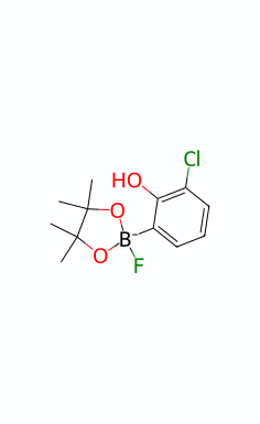 CC1(C)O[B-](F)(c2cccc(Cl)c2O)OC1(C)C